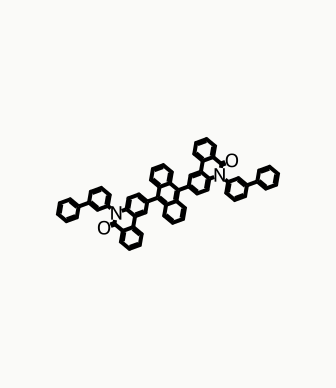 O=c1c2ccccc2c2cc(-c3c4ccccc4c(-c4ccc5c(c4)c4ccccc4c(=O)n5-c4cccc(-c5ccccc5)c4)c4ccccc34)ccc2n1-c1cccc(-c2ccccc2)c1